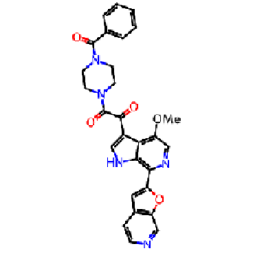 COc1cnc(-c2cc3ccncc3o2)c2[nH]cc(C(=O)C(=O)N3CCN(C(=O)c4ccccc4)CC3)c12